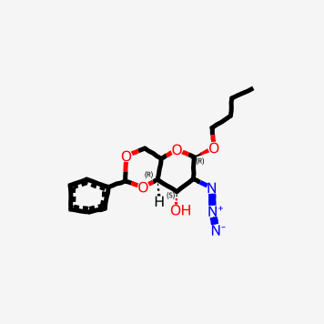 CCCCO[C@@H]1OC2COC(c3ccccc3)O[C@@H]2[C@@H](O)C1N=[N+]=[N-]